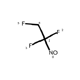 O=NC(F)(F)CF